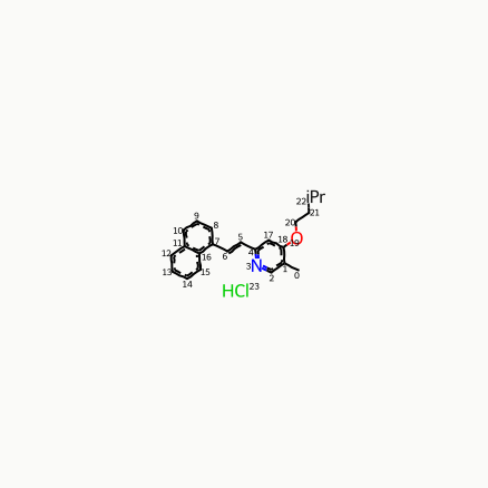 Cc1cnc(C=Cc2cccc3ccccc23)cc1OCCC(C)C.Cl